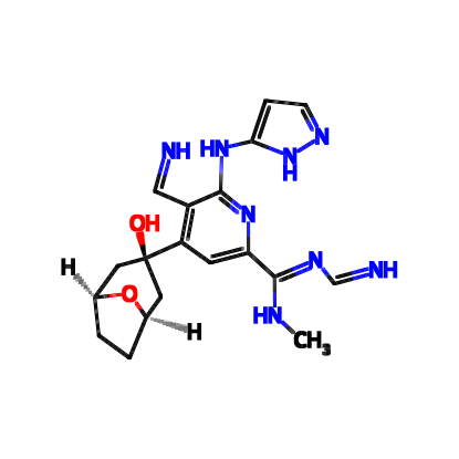 CN/C(=N\C=N)c1cc([C@]2(O)C[C@H]3CC[C@@H](C2)O3)c(C=N)c(Nc2ccn[nH]2)n1